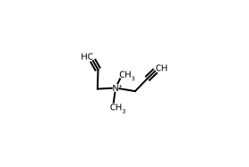 C#CC[N+](C)(C)CC#C